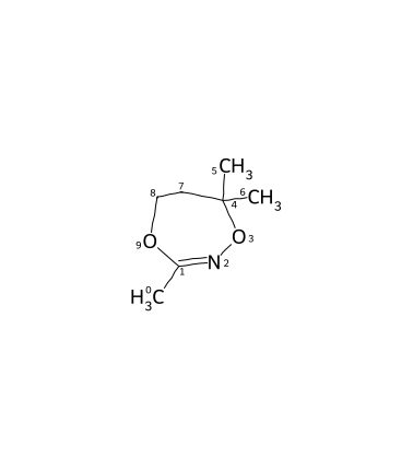 CC1=NOC(C)(C)CCO1